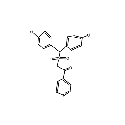 O=C(CS(=O)(=O)C(c1ccc(Cl)cc1)c1ccc(Cl)cc1)c1ccncc1